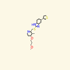 COCCCOc1ccnc(CSc2nc3cc(-c4ccsc4)ccc3[nH]2)c1C